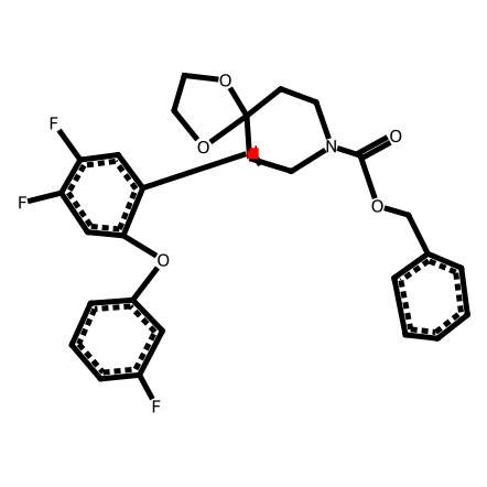 O=C(OCc1ccccc1)N1CCC2(OCCO2)C2(CCN(c3cc(F)c(F)cc3Oc3cccc(F)c3)C2)C1